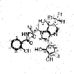 CC[N+](CC)(CC)N1C=NC2=C(C1N)N(NS(=O)(=O)NC(=O)c1ccccc1O)CN2[C@@H]1O[C@H](C)C(O)C1O